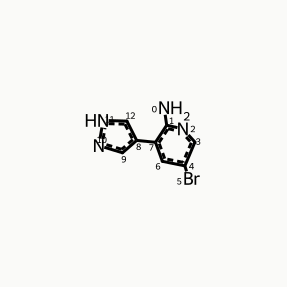 Nc1ncc(Br)cc1-c1cn[nH]c1